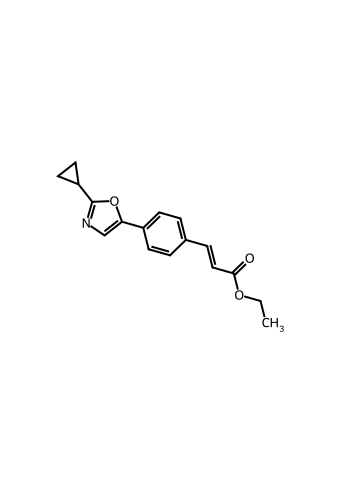 CCOC(=O)/C=C/c1ccc(-c2cnc(C3CC3)o2)cc1